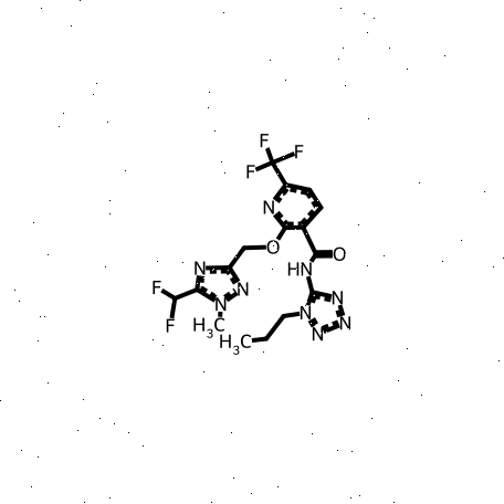 CCCn1nnnc1NC(=O)c1ccc(C(F)(F)F)nc1OCc1nc(C(F)F)n(C)n1